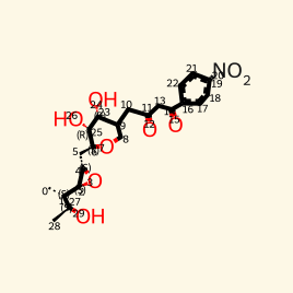 C[C@H]([C@@H]1O[C@H]1C[C@@H]1OCC(CC(=O)CC(=O)c2ccc([N+](=O)[O-])cc2)[C@@H](O)[C@H]1O)[C@H](C)O